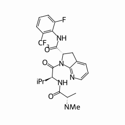 CN[C@@H](C)C(=O)N[C@H](C(=O)N1c2ncccc2C[C@H]1C(=O)Nc1c(F)cccc1C(F)(F)F)C(C)C